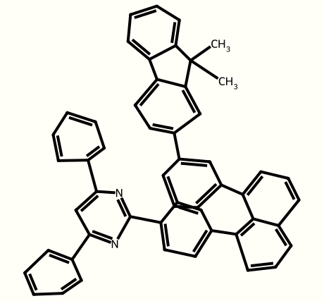 CC1(C)c2ccccc2-c2ccc(-c3cccc(-c4cccc5cccc(-c6ccc(-c7nc(-c8ccccc8)cc(-c8ccccc8)n7)cc6)c45)c3)cc21